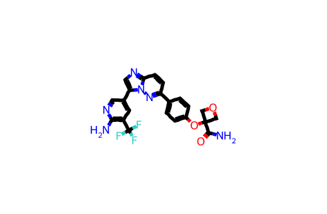 NC(=O)C1(Oc2ccc(-c3ccc4ncc(-c5cnc(N)c(C(F)(F)F)c5)n4n3)cc2)COC1